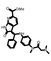 COC(=O)c1ccc2c(n1)NC(=O)C2=C(Nc1ccc(N(C)C(=O)CN(C)C)cc1)c1ccccc1